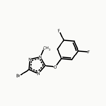 Cn1nc(Br)nc1OC1=CC(F)=CC(F)C1